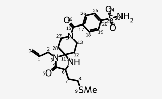 C=CCN1C(=O)C(CCSC)NC12CCN(C(=O)c1ccc(S(N)(=O)=O)cc1)CC2